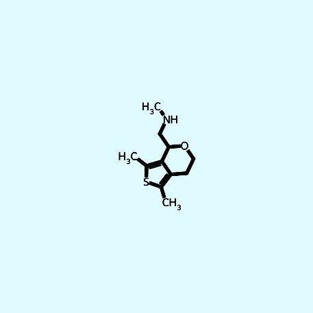 CNCC1OCCc2c(C)sc(C)c21